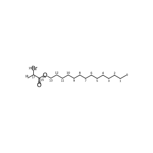 CCCCCCCCCCCCCCOC(=O)C(C)Br